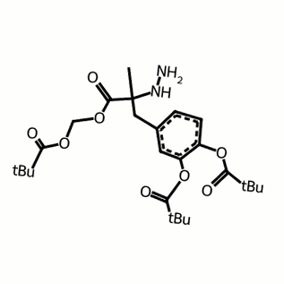 CC(C)(C)C(=O)OCOC(=O)C(C)(Cc1ccc(OC(=O)C(C)(C)C)c(OC(=O)C(C)(C)C)c1)NN